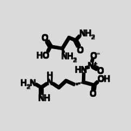 N=C(N)NCCC[C@H](N[N+](=O)[O-])C(=O)O.NC(=O)C[C@@H](N)C(=O)O